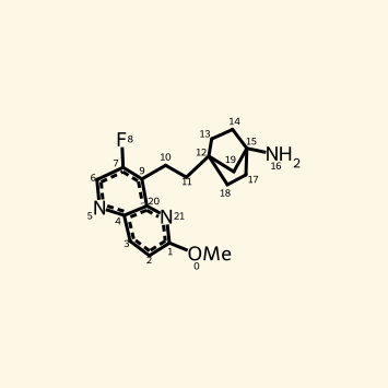 COc1ccc2ncc(F)c(CCC34CCC(N)(CC3)C4)c2n1